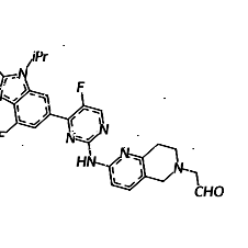 Cc1nc2c(F)cc(-c3nc(Nc4ccc5c(n4)CCN(CC=O)C5)ncc3F)cc2n1C(C)C